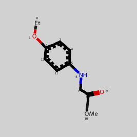 CCOc1ccc(NCC(=O)OC)cc1